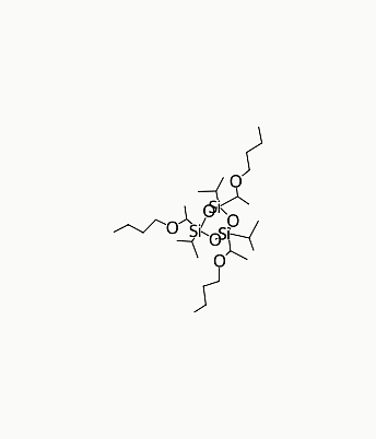 CCCCOC(C)[Si]1(C(C)C)O[Si](C(C)C)(C(C)OCCCC)O[Si](C(C)C)(C(C)OCCCC)O1